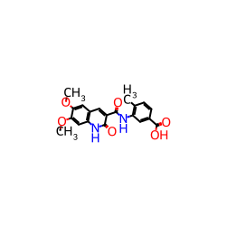 COc1cc2cc(C(=O)Nc3cc(C(=O)O)ccc3C)c(=O)[nH]c2cc1OC